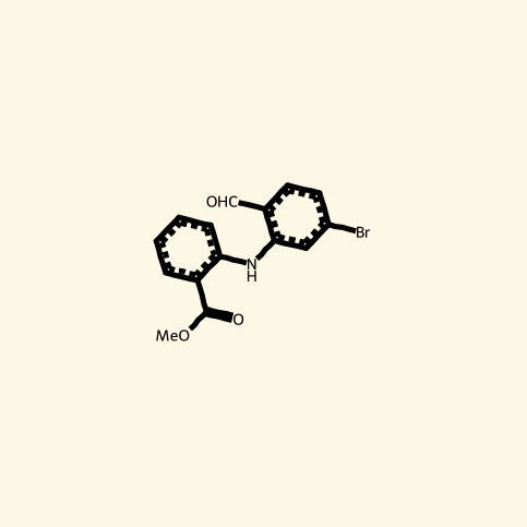 COC(=O)c1ccccc1Nc1cc(Br)ccc1C=O